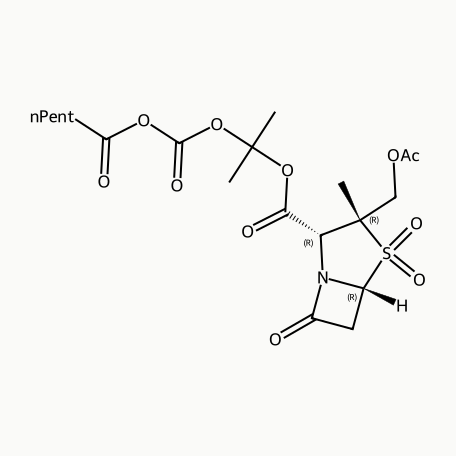 CCCCCC(=O)OC(=O)OC(C)(C)OC(=O)[C@H]1N2C(=O)C[C@H]2S(=O)(=O)[C@@]1(C)COC(C)=O